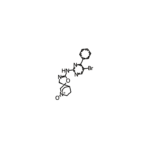 [O-][N+]12CCC(CC1)[C@]1(CN=C(Nc3ncc(Br)c(-c4ccccc4)n3)O1)C2